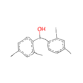 Cc1ccc([C](O)c2ccc(C)cc2C)c(C)c1